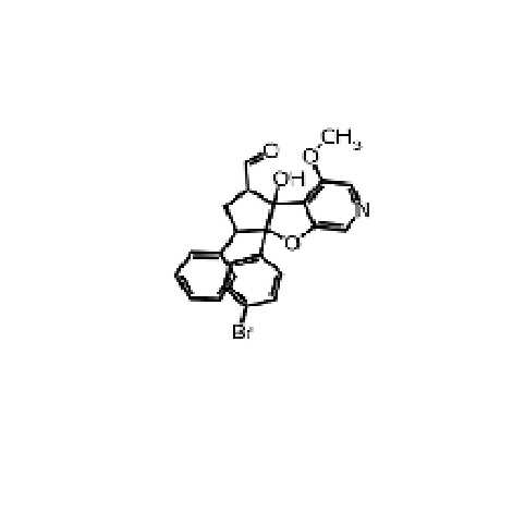 COc1cncc2c1C1(O)C(C=O)CC(c3ccccc3)C1(c1ccc(Br)cc1)O2